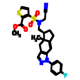 COC(=O)c1sccc1S(=O)(=O)N(CC#N)C[C@H]1CCC2=Cc3c(cnn3-c3ccc(F)cc3)C[C@@]21C